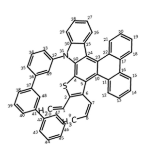 C=Cc1sc2c(c1/C=C\C)c1c3ccccc3c3ccccc3c1c1c3ccccc3n(-c3cccc(-c4cccc(-c5ccccc5)c4)c3)c21